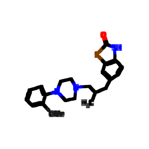 COc1ccccc1N1CCN(CC(C)Cc2ccc3[nH]c(=O)sc3c2)CC1